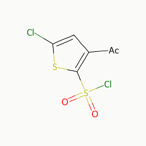 CC(=O)c1cc(Cl)sc1S(=O)(=O)Cl